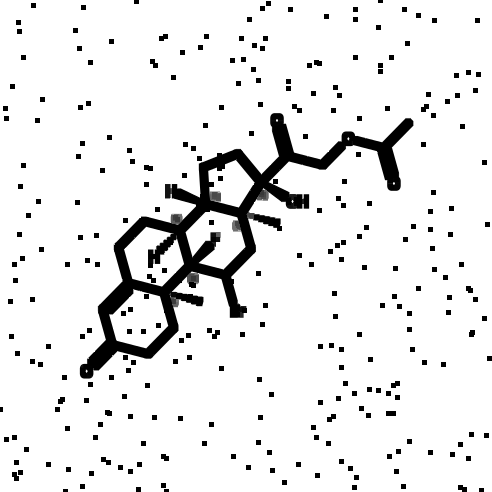 CC(=O)OCC(=O)[C@@]1(O)CC[C@H]2[C@@H]3CCC4=CC(=O)CC[C@]4(C)[C@@]3(F)C(Br)C[C@@]21C